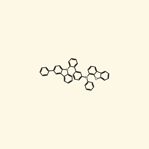 c1ccc(-c2ccc3c(c2)c2ccccc2n3-c2ccccc2-c2cccc(N(c3ccccc3)c3cccc4c3oc3ccccc34)c2)cc1